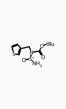 CC(C)(C)OC(=O)N(Cc1ccsc1)[S+](N)[O-]